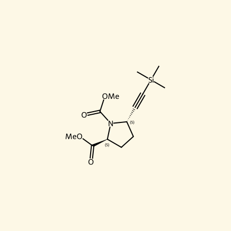 COC(=O)[C@@H]1CC[C@@H](C#C[Si](C)(C)C)N1C(=O)OC